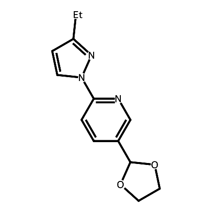 CCc1ccn(-c2ccc(C3OCCO3)cn2)n1